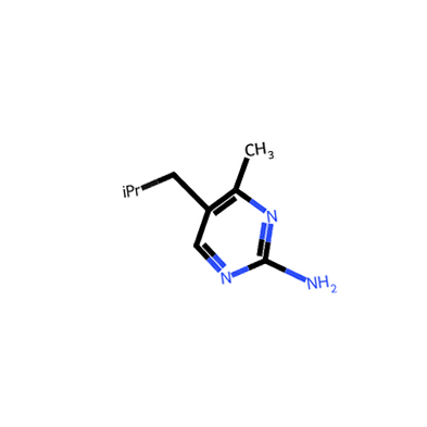 Cc1nc(N)ncc1CC(C)C